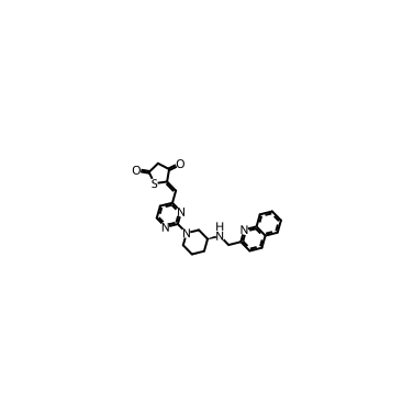 O=C1CC(=O)/C(=C/c2ccnc(N3CCC[C@H](NCc4ccc5ccccc5n4)C3)n2)S1